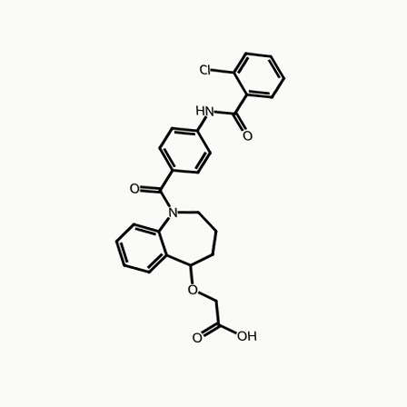 O=C(O)COC1CCCN(C(=O)c2ccc(NC(=O)c3ccccc3Cl)cc2)c2ccccc21